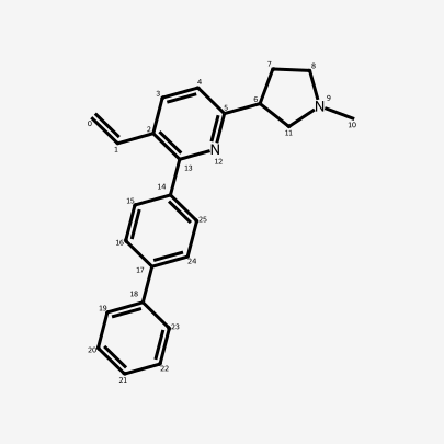 C=Cc1ccc(C2CCN(C)C2)nc1-c1ccc(-c2ccccc2)cc1